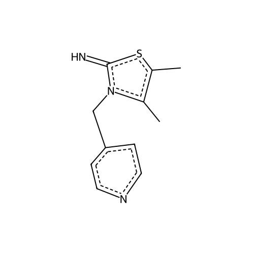 Cc1sc(=N)n(Cc2ccncc2)c1C